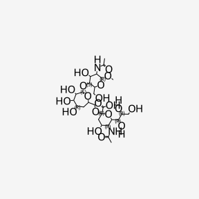 CO[C@@H]1OC(CO)[C@@H](O[C@@H]2OC(CO[C@]3(C(=O)O)CC(O)[C@@H](NC(C)=O)C([C@H](O)[C@H](O)CO)O3)C[C@@H](O)C(O)C2O)C(O)C1NC(C)=O